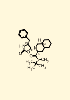 CN(C(=O)[C@@H]1CC2CCCC[C@@H]2CN1[C@@H]1OC(=O)N[C@H]1Cc1ccccc1)C(C)(C)C